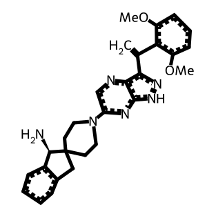 C=C(c1c(OC)cccc1OC)c1n[nH]c2nc(N3CCC4(CC3)Cc3ccccc3[C@H]4N)cnc12